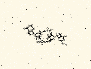 Nc1nc2c(nnn2[C@@H]2O[C@@H]3COP(=O)(S)O[C@H]4[C@H](F)[C@H](n5ccc6c5N=CCC6=O)O[C@@H]4COP(=O)(S)O[C@@H]2[C@H]3F)c(=O)[nH]1